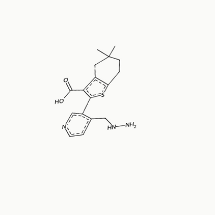 CC1(C)CCc2sc(-c3cnccc3CNN)c(C(=O)O)c2C1